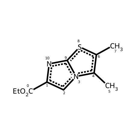 CCOC(=O)c1cn2c(C)c(C)sc2n1